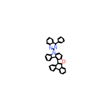 c1ccc(-c2nc(-n3c4ccccc4c4c5c(ccc43)oc3c4ccccc4c4ccccc4c35)nc3ccccc23)cc1